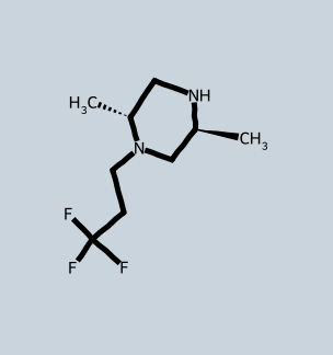 C[C@@H]1CN[C@@H](C)CN1CCC(F)(F)F